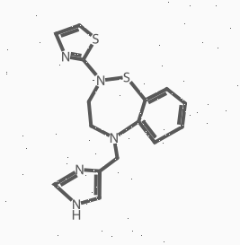 c1ccc2c(c1)SN(c1nccs1)CCN2Cc1c[nH]cn1